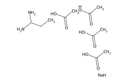 CC(=O)O.CC(=O)O.CC(=O)O.CC(=O)O.CCC(N)N.[NaH]